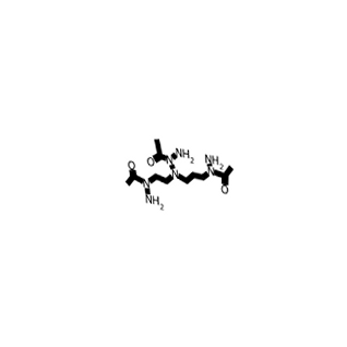 CC(=O)N(N)CCCN(CCN(N)C(C)=O)N(N)C(C)=O